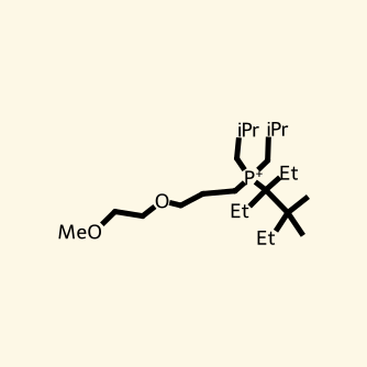 CCC(C)(C)C(CC)(CC)[P+](CCCOCCOC)(CC(C)C)CC(C)C